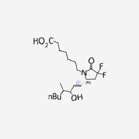 CCCCC(C)C(O)/C=C/[C@H]1CC(F)(F)C(=O)N1CCCCCCC(=O)O